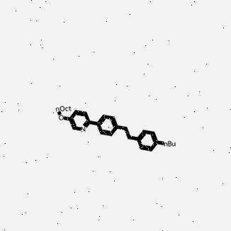 CCCCCCCCOc1ccc(-c2ccc(CCc3ccc(CCCC)cc3)cc2)nc1